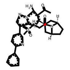 CC(=O)c1c([C@H]2C[C@H]3CC[C@@H](C2)N3C(=O)CNS(C)(=O)=O)nc2c(-c3ccc(-c4ccccc4)nc3)cnn2c1N